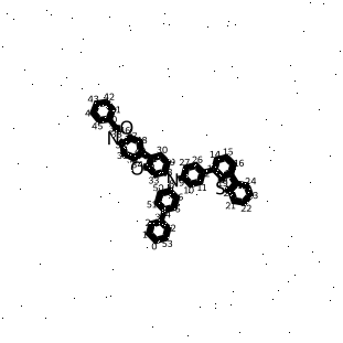 c1ccc(-c2ccc(N(c3ccc(-c4cccc5c4sc4ccccc45)cc3)c3ccc4c(c3)oc3cc5nc(-c6ccccc6)oc5cc34)cc2)cc1